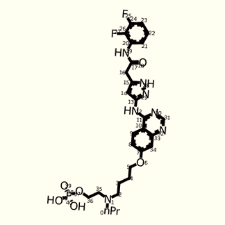 CCCN(CCCCOc1ccc2c(Nc3cc(CC(=O)Nc4cccc(F)c4F)[nH]n3)ncnc2c1)CCOP(=O)(O)O